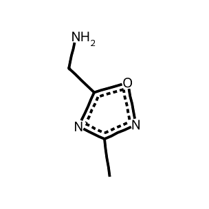 Cc1noc(CN)n1